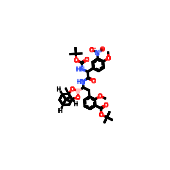 COc1ccc(C(NC(=O)OC(C)(C)C)C(=O)NC(Cc2cccc(C(=O)OC(C)(C)C)c2OC)B2O[C@@H]3C[C@@H]4C[C@@H](C4(C)C)[C@]3(C)O2)cc1[N+](=O)[O-]